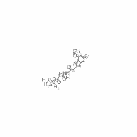 COc1cc(Br)cc2sc(CC(=O)NNC(=O)CC(=O)OC(C)(C)C)nc12